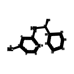 C[C@H](Nc1cc(C#N)ccn1)c1ccccc1